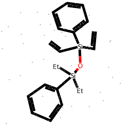 C=C[Si](C=C)(O[Si](CC)(CC)c1ccccc1)c1ccccc1